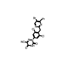 CC(C)c1nc(Cc2c(Cl)cc(-n3nc(C#N)c(=O)[nH]c3=O)cc2Cl)ncc1Br